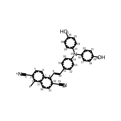 Cc1c(C#N)ccc2c(C=Cc3ccc(N(c4ccc(O)cc4)c4ccc(O)cc4)cc3)c(C#N)ccc12